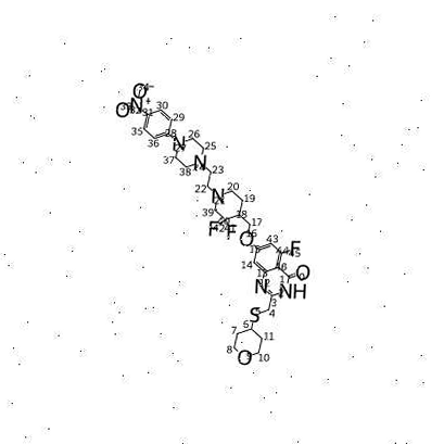 O=c1[nH]c(CSC2CCOCC2)nc2cc(OCC3CCN(CCN4CCN(c5ccc([N+](=O)[O-])cc5)CC4)CC3(F)F)cc(F)c12